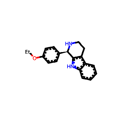 CCOc1ccc([C@H]2NCCc3c2[nH]c2ccccc32)cc1